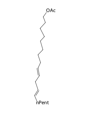 CCCCCC=CCC=CCCCCCCCCOC(C)=O